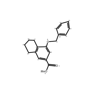 COC(=O)c1cc2c(c(OCc3ccccc3)c1)CCCC2